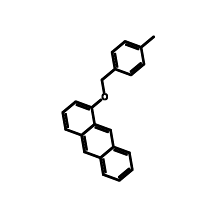 Cc1ccc(COc2cccc3cc4ccccc4cc23)cc1